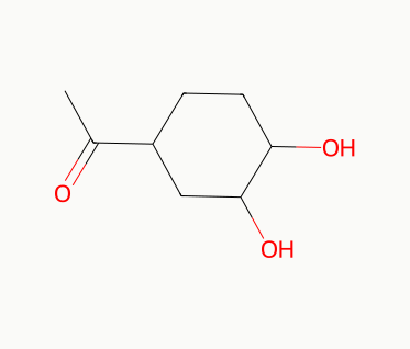 CC(=O)C1CCC(O)C(O)C1